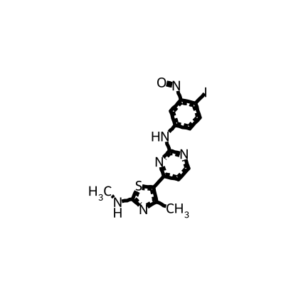 CNc1nc(C)c(-c2ccnc(Nc3ccc(I)c(N=O)c3)n2)s1